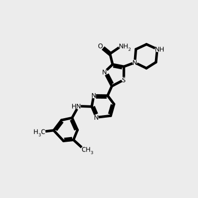 Cc1cc(C)cc(Nc2nccc(-c3nc(C(N)=O)c(N4CCNCC4)s3)n2)c1